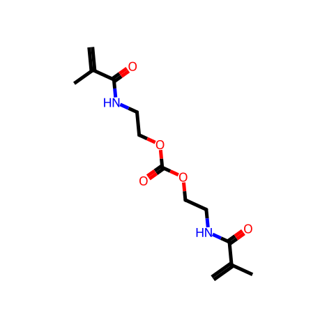 C=C(C)C(=O)NCCOC(=O)OCCNC(=O)C(=C)C